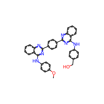 COc1ccc(Nc2nc(-c3ccc(-c4nc(Nc5ccc(CO)cc5)c5ccccc5n4)cc3)nc3ccccc23)cc1